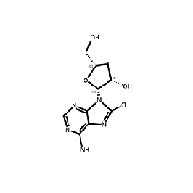 Nc1ncnc2c1nc(Cl)n2[C@@H]1O[C@H](CO)C[C@@H]1O